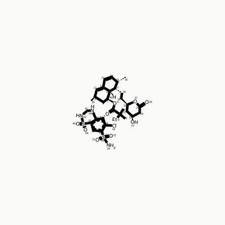 CCC(C)(C)C(=O)O[C@H]1C[C@@H](C)C=C2C=C[C@H](C)[C@H](CC[C@@H]3C[C@@H](O)CC(=O)O3)[C@H]21.NS(=O)(=O)c1cc2c(cc1Cl)NCNS2(=O)=O